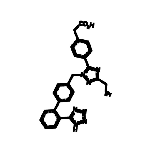 CC(C)Cc1nc(-c2ccc(CC(=O)O)cc2)n(Cc2ccc(-c3ccccc3-c3nnn[nH]3)cc2)n1